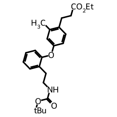 CCOC(=O)CCc1ccc(Oc2ccccc2CCNC(=O)OC(C)(C)C)cc1C